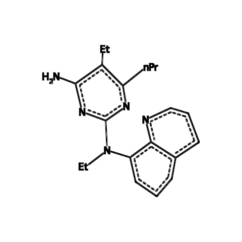 CCCc1nc(N(CC)c2cccc3cccnc23)nc(N)c1CC